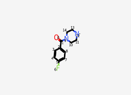 O=C(c1ccc(F)cc1)N1CC[N]CC1